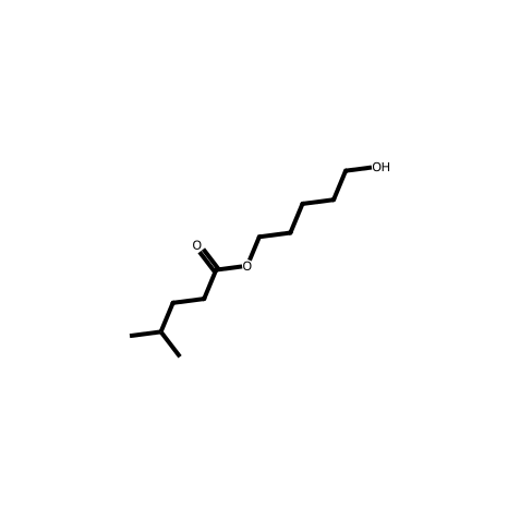 CC(C)CCC(=O)OCCCCCO